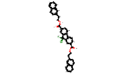 O=C(OCCc1ccc2ccccc2c1)c1ccc2c(c1)C(Cl)(Cl)c1cc(C(=O)OCCc3ccc4ccccc4c3)ccc1-2